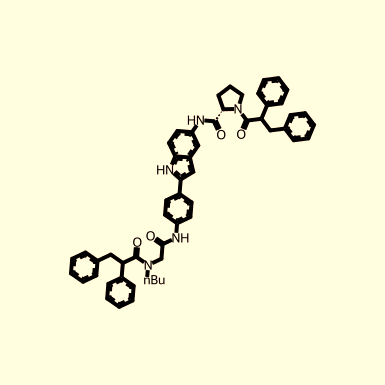 CCCCN(CC(=O)Nc1ccc(-c2cc3cc(NC(=O)[C@@H]4CCCN4C(=O)C(Cc4ccccc4)c4ccccc4)ccc3[nH]2)cc1)C(=O)C(Cc1ccccc1)c1ccccc1